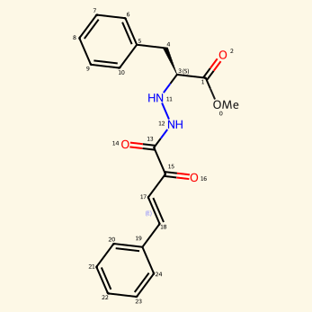 COC(=O)[C@H](Cc1ccccc1)NNC(=O)C(=O)/C=C/c1ccccc1